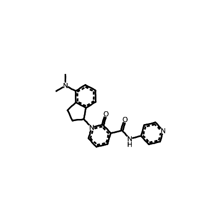 CN(C)c1cccc2c1CCC2n1cccc(C(=O)Nc2ccncc2)c1=O